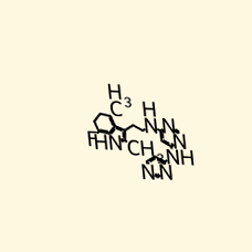 CC1=c2c(CCNc3cc(Nc4ccncn4)ncn3)c(C)[nH]c2=C(F)CC1